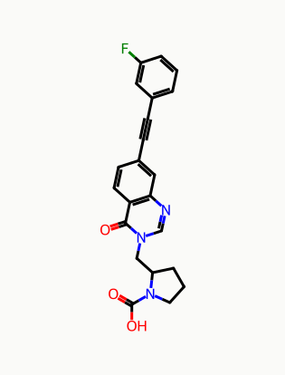 O=C(O)N1CCCC1Cn1cnc2cc(C#Cc3cccc(F)c3)ccc2c1=O